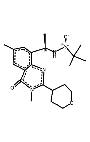 Cc1cc([C@@H](C)N[S@+]([O-])C(C)(C)C)c2nc(C3CCOCC3)n(C)c(=O)c2c1